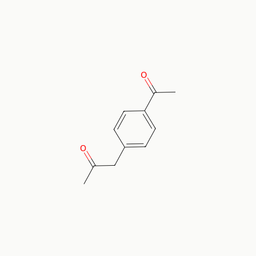 CC(=O)Cc1ccc(C(C)=O)cc1